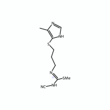 CS/C(=N\CCCSc1[nH]cnc1C)NC#N